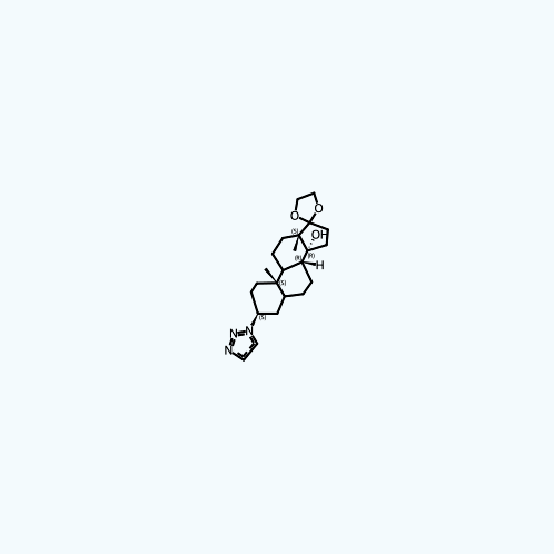 C[C@]12CC[C@H](n3ccnn3)CC1CC[C@@H]1C2CC[C@]2(C)C3(CC[C@@]12O)OCCO3